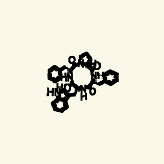 O=C1N[C@@H](Cc2c[nH]c3ccccc23)C(O)N[C@H](Cc2ccccc2)C(=O)N2CCC[C@H]2C(=O)N[C@H]1Cc1ccccc1